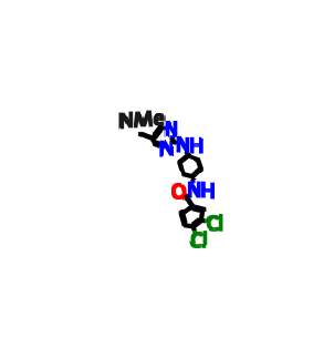 CNc1nc(NC2CCC(NC(=O)c3ccc(Cl)c(Cl)c3)CC2)ncc1C